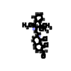 CN1/C(=C/C=C2\CCC3CCC(C=O)=C(Cl)C3=C2Cl)C(C)(C)c2ccccc21